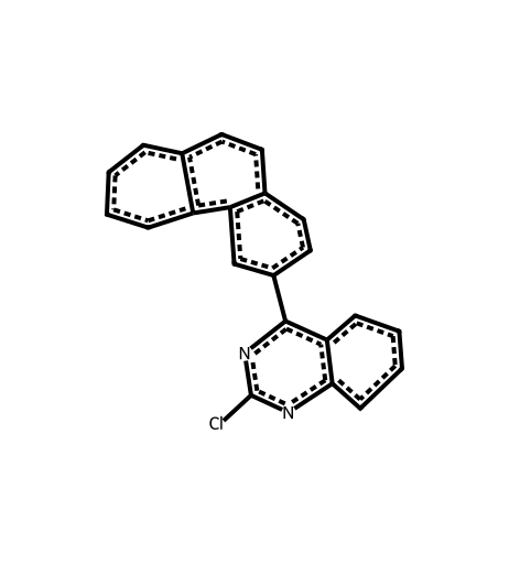 Clc1nc(-c2ccc3ccc4ccccc4c3c2)c2ccccc2n1